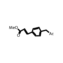 COC(=O)C=Cc1ccc(CC(C)=O)cc1